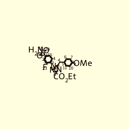 CCOC(=O)c1nc(Cc2ccc(OC)cc2)n(-c2ccc(S(N)(=O)=O)cc2F)n1